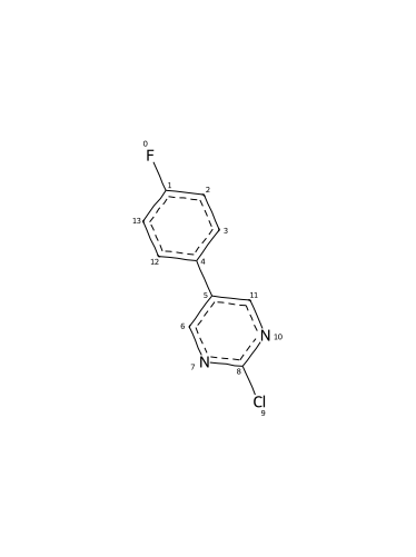 Fc1ccc(-c2cnc(Cl)nc2)cc1